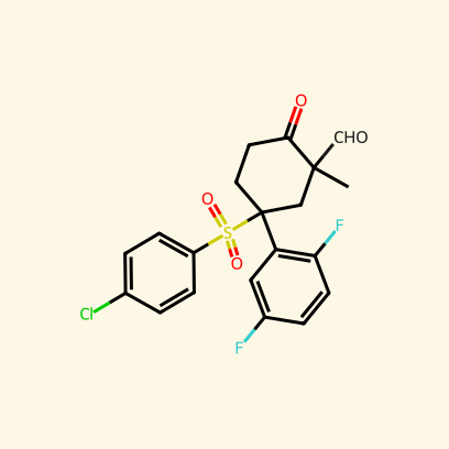 CC1(C=O)CC(c2cc(F)ccc2F)(S(=O)(=O)c2ccc(Cl)cc2)CCC1=O